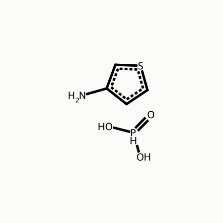 Nc1ccsc1.O=[PH](O)O